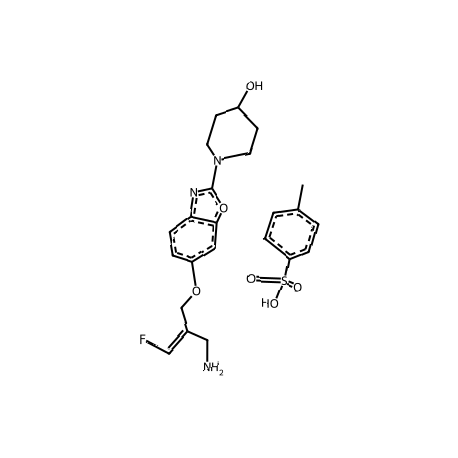 Cc1ccc(S(=O)(=O)O)cc1.NC/C(=C/F)COc1ccc2nc(N3CCC(O)CC3)oc2c1